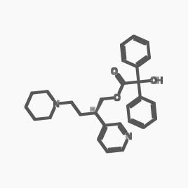 O=C(OC[C@H](CCN1CCCCC1)c1cccnc1)C(O)(c1ccccc1)c1ccccc1